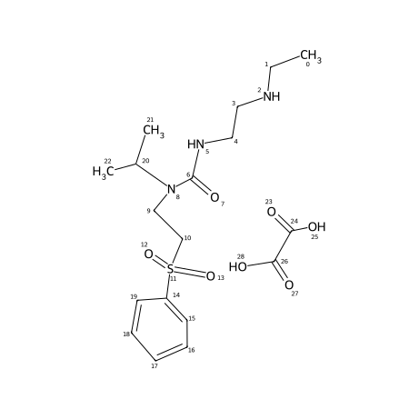 CCNCCNC(=O)N(CCS(=O)(=O)c1ccccc1)C(C)C.O=C(O)C(=O)O